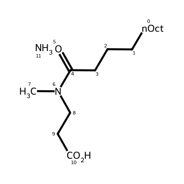 CCCCCCCCCCCC(=O)N(C)CCC(=O)O.N